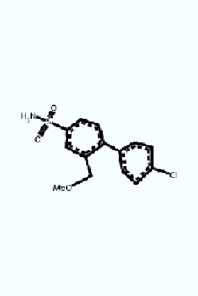 COCc1cc(S(N)(=O)=O)ccc1-c1ccc(Cl)cc1